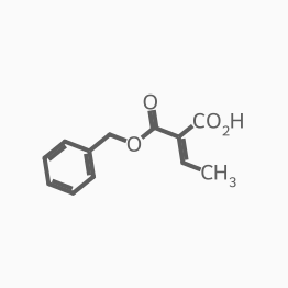 CC=C(C(=O)O)C(=O)OCc1ccccc1